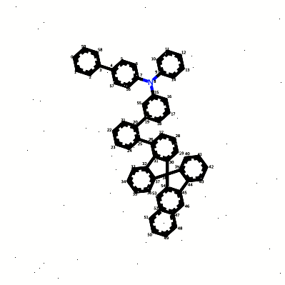 c1ccc(-c2ccc(N(c3ccccc3)c3cccc(-c4ccccc4-c4cccc5c4-c4ccccc4C54c5ccccc5-c5cc6ccccc6cc54)c3)cc2)cc1